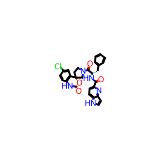 O=C1Nc2ccc(Cl)cc2C2(CCN(C(=O)[C@H](Cc3ccccc3)NC(=O)c3ccc4[nH]ccc4n3)C2)O1